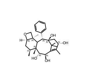 CC1=C2[C@@H](O)[C@H](O)[C@@]3(C)C([C@H](c4ccccc4)[C@](O)(C[C@@H]1O)C2(C)C)[C@]1(C)CO[C@@H]1C[C@@H]3C